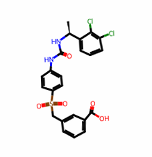 C[C@H](NC(=O)Nc1ccc(S(=O)(=O)Cc2cccc(C(=O)O)c2)cc1)c1cccc(Cl)c1Cl